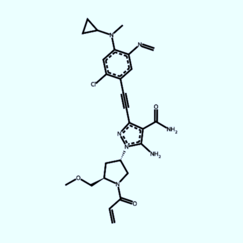 C=CC(=O)N1C[C@@H](n2nc(C#Cc3cc(N=C)c(N(C)C4CC4)cc3Cl)c(C(N)=O)c2N)C[C@@H]1COC